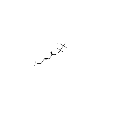 CCCC(C)(CC)C(C)(C)OC(=O)/C=C/CN(C)C